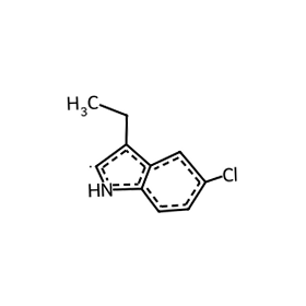 CCc1[c][nH]c2ccc(Cl)cc12